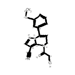 COc1cccc(C2=CCN(C(=O)CCl)c3c(C#N)cnn32)c1